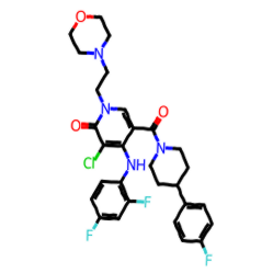 O=C(c1cn(CCN2CCOCC2)c(=O)c(Cl)c1Nc1ccc(F)cc1F)N1CCC(c2ccc(F)cc2)CC1